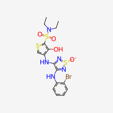 CCN(CC)S(=O)(=O)c1scc(Nc2n[s+]([O-])nc2Nc2ccccc2Br)c1O